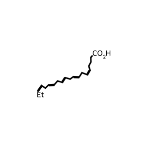 CC/C=C\C/C=C/C/C=C/C/C=C/C/C=C\CCCC(=O)O